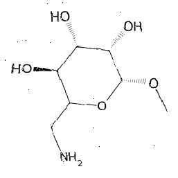 CO[C@@H]1OC(CN)[C@@H](O)[C@H](O)[C@@H]1O